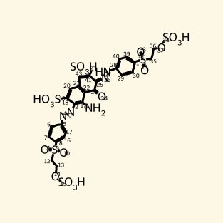 Nc1c(N=Nc2ccc(S(=O)(=O)CCOS(=O)(=O)O)cc2)c(S(=O)(=O)O)cc2c1C(=O)/C(=N/Nc1ccc(S(=O)(=O)CCOS(=O)(=O)O)cc1)C(S(=O)(=O)O)=C2